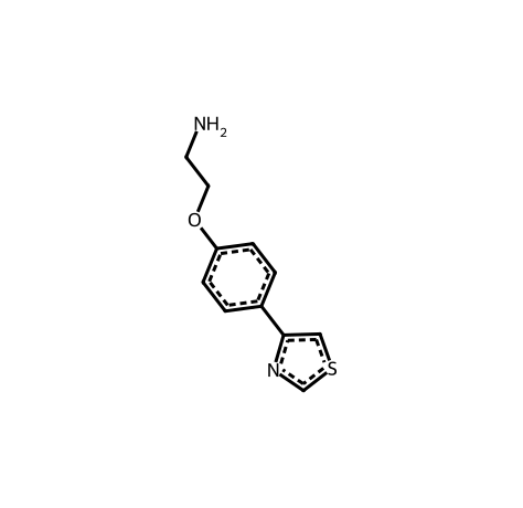 NCCOc1ccc(-c2cscn2)cc1